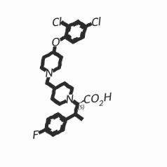 CC(c1ccc(F)cc1)[C@@H](C(=O)O)N1CCC(CN2CCC(Oc3ccc(Cl)cc3Cl)CC2)CC1